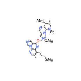 CCN1CC(C)=C(SC)C2=C1N1C[N+](COc3nc4c(CCCSC)c(C)cnc4n4cncc34)(OC)C=C1C=N2